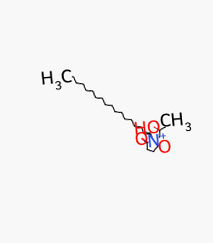 CCCCCCCCCCCCCCCCC=C[N+]1(CC(O)CC)C(=O)CCC1=O